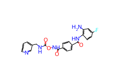 Nc1cc(F)ccc1NC(=O)c1ccc(C(=O)NOC(=O)NCc2cccnc2)cc1